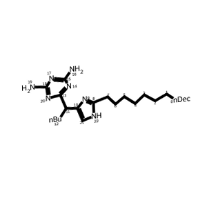 CCCCCCCCCCCCCCCCCc1nc(C(CCCC)c2nc(N)nc(N)n2)c[nH]1